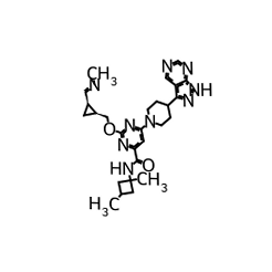 CN=C[C@@H]1C[C@@H]1COc1nc(C(=O)NC2(C)CC(C)C2)cc(N2CCC(c3n[nH]c4ncncc34)CC2)n1